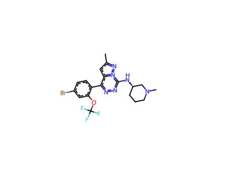 Cc1cc2c(-c3ccc(Br)cc3OC(F)(F)F)nnc(N[C@@H]3CCCN(C)C3)n2n1